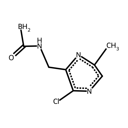 BC(=O)NCc1nc(C)cnc1Cl